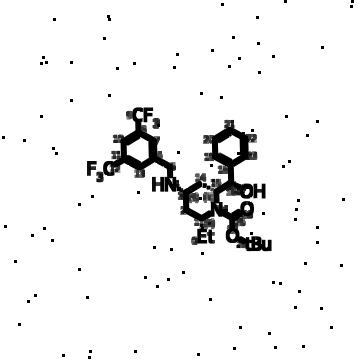 CC[C@@H]1C[C@H](NCc2cc(C(F)(F)F)cc(C(F)(F)F)c2)C[C@H]([C@H](O)c2ccccc2)N1C(=O)OC(C)(C)C